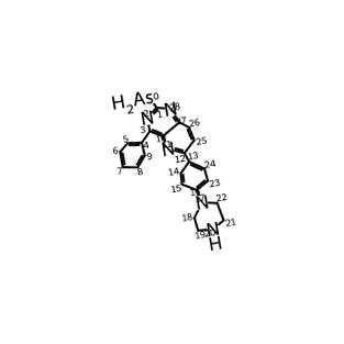 [AsH2]c1nc(-c2ccccc2)c2nc(-c3ccc(N4CCNCC4)cc3)ccc2n1